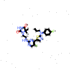 C=CCN(c1ccc(F)cc1)c1ncc(-c2nc(NCCN3C(=O)NC(=O)C3(C)C)ncc2F)s1